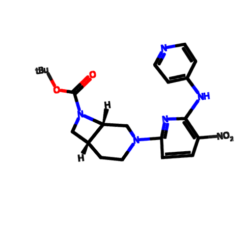 CC(C)(C)OC(=O)N1C[C@H]2CCN(c3ccc([N+](=O)[O-])c(Nc4ccncc4)n3)C[C@H]21